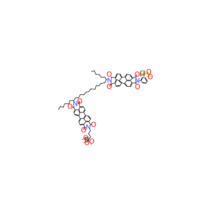 CCCCCCC(CCCCCCCCCCCCC(CCCCCC)N1C(=O)c2ccc3c4ccc5c6c(ccc(c7ccc(c2c37)C1=O)c64)C(O)N(c1cccc(S(=O)(=O)Cl)c1)C5=O)N1C(=O)c2ccc3c4ccc5c6c(ccc(c7ccc(c2c37)C1=O)c64)C(=O)N(CCC[Si](OC)(OC)OC)C5=O